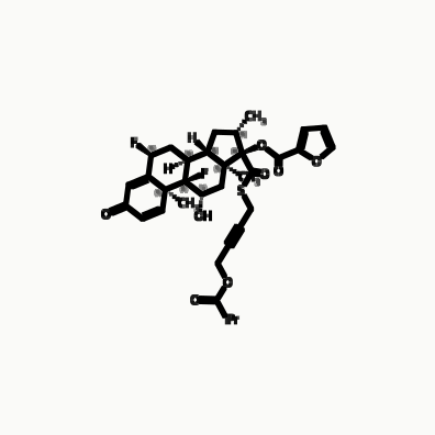 CC(C)C(=O)OCC#CCSC(=O)[C@@]1(OC(=O)c2ccco2)[C@@H](C)C[C@H]2[C@@H]3C[C@H](F)C4=CC(=O)C=C[C@]4(C)[C@@]3(F)[C@@H](O)C[C@@]21C